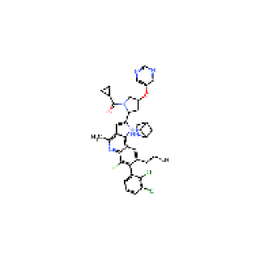 Cc1nc2c(F)c(-c3cccc(Cl)c3Cl)c(CCC#N)cc2c2c1cc(C1CC(Oc3cncnc3)CN1C(=O)C1CC1)n2C1C2CNC1C2